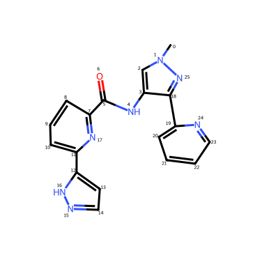 Cn1cc(NC(=O)c2cccc(-c3ccn[nH]3)n2)c(-c2ccccn2)n1